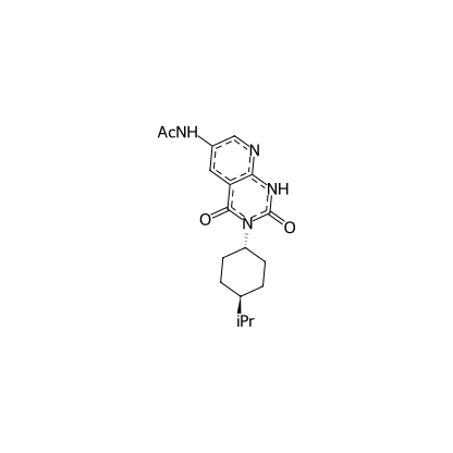 CC(=O)Nc1cnc2[nH]c(=O)n([C@H]3CC[C@H](C(C)C)CC3)c(=O)c2c1